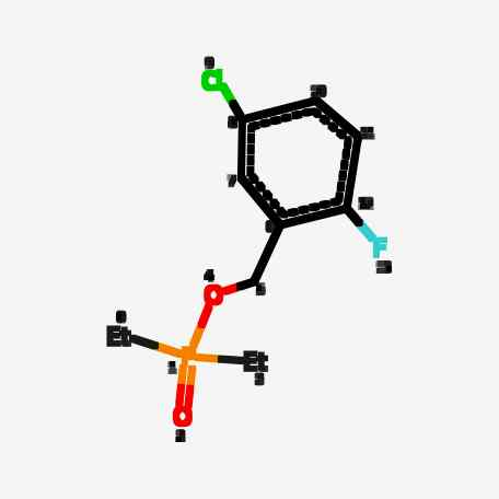 CCP(=O)(CC)OCc1cc(Cl)ccc1F